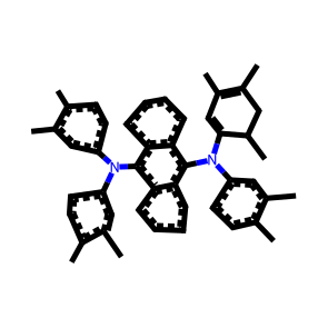 CC1=C(C)CC(C)C(N(c2ccc(C)c(C)c2)c2c3ccccc3c(N(c3ccc(C)c(C)c3)c3ccc(C)c(C)c3)c3ccccc23)=C1